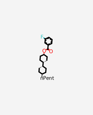 CCCCC[C@H]1CC[C@H]([C@H]2CC[C@H](OC(=O)c3cccc(F)c3)CC2)CC1